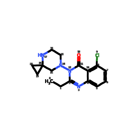 CCc1nc2cccc(Cl)c2c(=O)n1N1CCNC2(CC2)C1